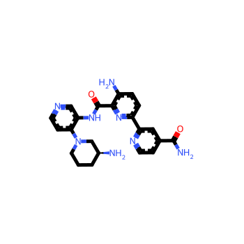 NC(=O)c1ccnc(-c2ccc(N)c(C(=O)Nc3cnccc3N3CCC[C@H](N)C3)n2)c1